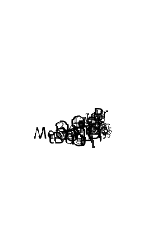 COC(=O)CCC(NC(=O)OC(C)(C)C)C(=O)Nc1ccc(Br)cc1C(=O)c1ccccc1F